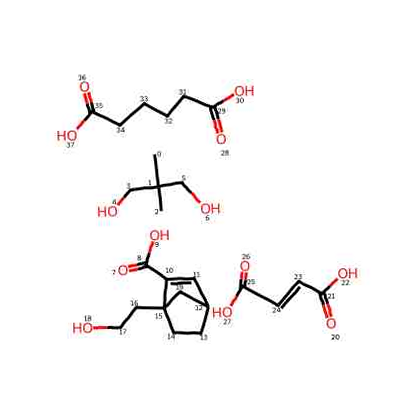 CC(C)(CO)CO.O=C(O)C1=CC2CCC1(CCO)C2.O=C(O)C=CC(=O)O.O=C(O)CCCCC(=O)O